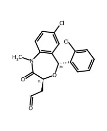 CN1C(=O)[C@H](C[C]=O)O[C@@H](c2ccccc2Cl)c2cc(Cl)ccc21